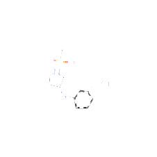 CC(C)(C)c1cccc(N[C@H]2CCN(S(C)(=O)=O)C2)c1